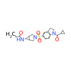 C=CC(=O)NC1C2CN(S(=O)(=O)c3ccc4c(c3)CCN4C(=O)C3CC3)CC21